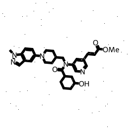 COC(=O)/C=C/c1cncc(N(CC2CCN(c3ccc4c(cnn4C)c3)CC2)C(=O)C2CCCC(O)C2)c1